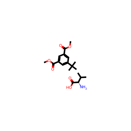 CC(C)[C@H](N)C(=O)O.COC(=O)c1cc(C(=O)OC)cc(C(C)(C)C)c1